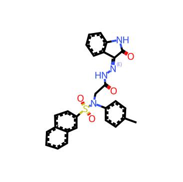 Cc1ccc(N(CC(=O)N/N=C2/C(=O)Nc3ccccc32)S(=O)(=O)c2ccc3ccccc3c2)cc1